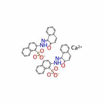 O=C1C=Cc2ccccc2/C1=N/Nc1ccc2ccccc2c1S(=O)(=O)[O-].O=C1C=Cc2ccccc2/C1=N/Nc1ccc2ccccc2c1S(=O)(=O)[O-].[Ca+2]